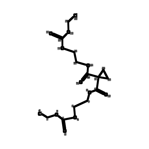 O=C(OCCl)OCCOC(=O)C1(C(=O)OCCOC(=O)OCCl)CC1